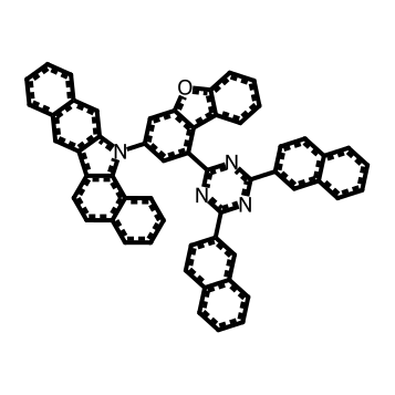 c1ccc2cc(-c3nc(-c4ccc5ccccc5c4)nc(-c4cc(-n5c6cc7ccccc7cc6c6ccc7ccccc7c65)cc5oc6ccccc6c45)n3)ccc2c1